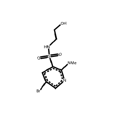 CNc1ncc(Br)cc1S(=O)(=O)NCCO